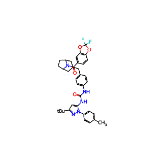 Cc1ccc(-n2nc(C(C)(C)C)cc2NC(=O)Nc2ccc(CC3CC4CCC(C3)N4C(=O)c3ccc4c(c3)OC(F)(F)O4)cc2)cc1